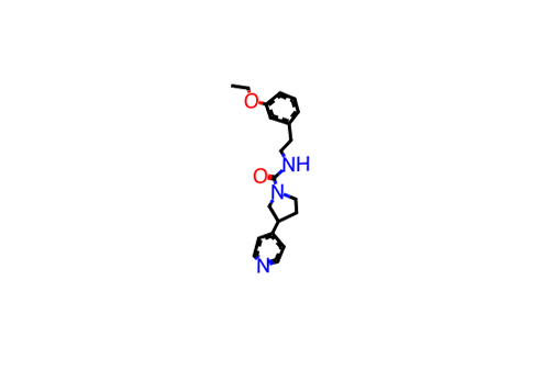 CCOc1cccc(CCNC(=O)N2CCC(c3ccncc3)C2)c1